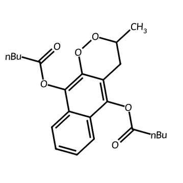 CCCCC(=O)Oc1c2c(c(OC(=O)CCCC)c3ccccc13)OOC(C)C2